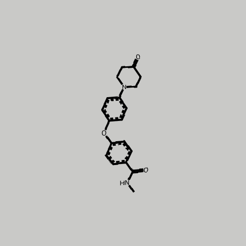 CNC(=O)c1ccc(Oc2ccc(N3CCC(=O)CC3)cc2)cc1